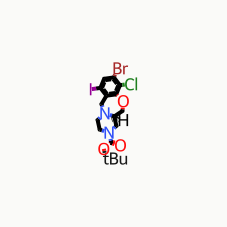 CC(C)(C)OC(=O)N1CCN2Cc3c(I)cc(Br)c(Cl)c3OC[C@H]2C1